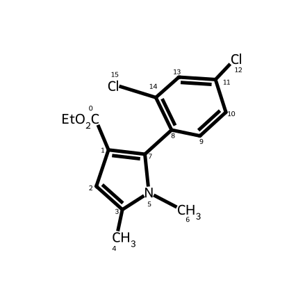 CCOC(=O)c1cc(C)n(C)c1-c1ccc(Cl)cc1Cl